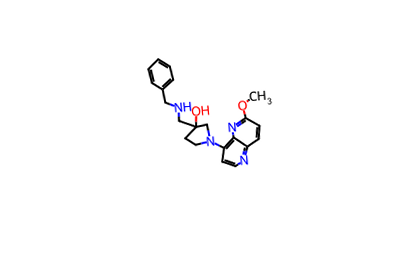 COc1ccc2nccc(N3CCC(O)(CNCc4ccccc4)C3)c2n1